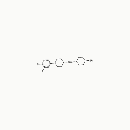 CCC[C@H]1CC[C@H](C#C[C@H]2CC[C@H](c3ccc(F)c(F)c3)CC2)CC1